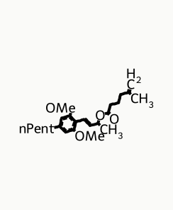 C=C(C)CCCC(=O)OC(C)C=Cc1c(OC)cc(CCCCC)cc1OC